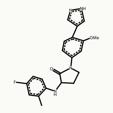 COc1cc(N2CCC(Nc3ccc(F)cc3C)C2=O)ccc1-c1cn[nH]c1